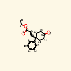 CCOC(=O)C=CC1(c2ccccc2)CCC(=O)CC1